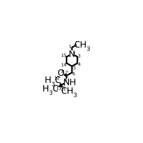 CCN1CCC(CC(=O)NC(C)(C)C)CC1